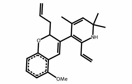 C=CCC1Oc2cccc(OC)c2C=C1C1=C(C=C)NC(C)(C)C=C1C